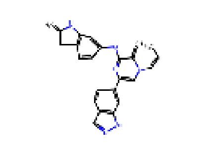 C=C1Cc2ccc(NC3=NC(c4ccc5cn[nH]c5c4)=CN(/C=C\C)C3=C)cc2N1